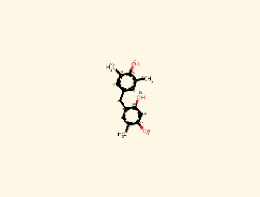 Cc1cc(Cc2cc(C)c(O)c(C)c2)c(O)cc1O